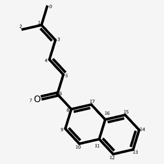 CC(C)=CC=CC(=O)c1ccc2ccccc2c1